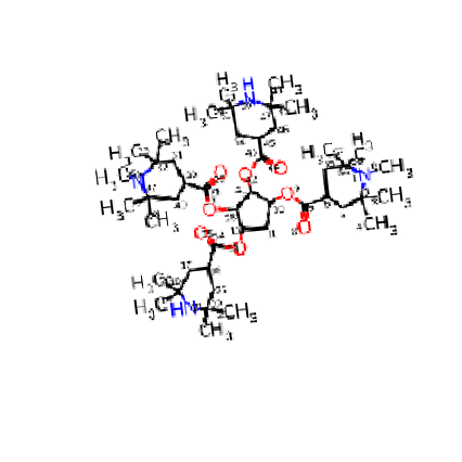 CN1C(C)(C)CC(C(=O)OC2CC(OC(=O)C3CC(C)(C)NC(C)(C)C3)C(OC(=O)C3CC(C)(C)N(C)C(C)(C)C3)C2OC(=O)C2CC(C)(C)NC(C)(C)C2)CC1(C)C